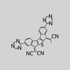 C/C(C#N)=C1/c2cc(-c3ncncn3)ccc2-c2c1sc1c2-c2ccc(-c3ncncn3)cc2C1=C(C#N)C#N